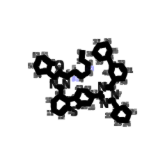 C=C/C=C\C=C\c1nc(-c2cccc3sc4cc(-c5nc(-c6ccccc6)nc(-c6cccc(-c7ccccc7)c6)n5)ccc4c23)nc2c1oc1ccccc12